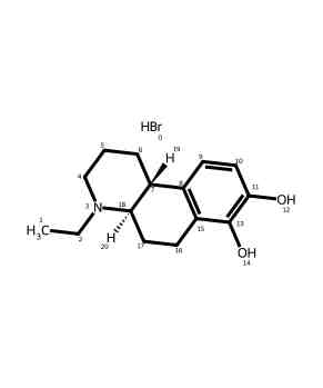 Br.CCN1CCC[C@@H]2c3ccc(O)c(O)c3CC[C@H]21